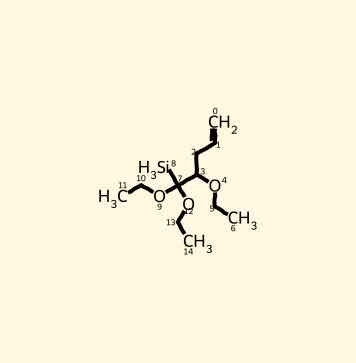 C=CCC(OCC)C([SiH3])(OCC)OCC